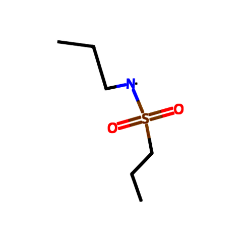 CCC[N]S(=O)(=O)CCC